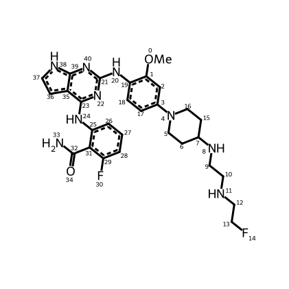 COc1cc(N2CCC(NCCNCCF)CC2)ccc1Nc1nc(Nc2cccc(F)c2C(N)=O)c2cc[nH]c2n1